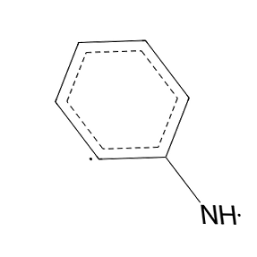 [NH]c1[c]cccc1